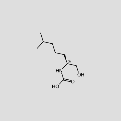 CC(C)CCC[C@@H](CO)NC(=O)O